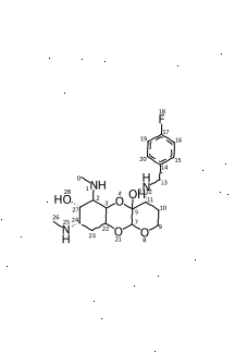 CNC1C2OC3(O)C(OCC[C@H]3NCc3ccc(F)cc3)OC2C[C@H](NC)[C@@H]1O